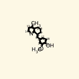 COc1cc(/C=C2\CCCc3c(C)ccnc32)ccc1O